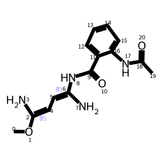 CO/C(N)=C/C=C(\N)NC(=O)c1ccccc1NC(C)=O